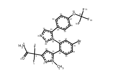 Cn1nc(C(F)(F)C(N)=O)cc1-c1ccc(Br)cc1-n1nncc1-c1ccc(OC(F)(F)F)cc1